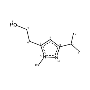 CC(C)c1cc(CCO)n(C)n1